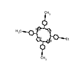 CC#Cc1ccc(-c2c3nc(c(-c4ccc(C#CC)cc4)c4ccc([nH]4)c(-c4ccc(C#CCC)cc4)c4nc(c(-c5ccc(C#CC)cc5)c5ccc2[nH]5)C=C4)C=C3)cc1